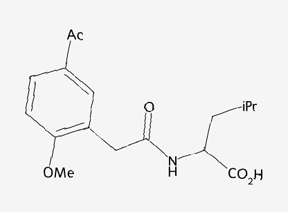 COc1ccc(C(C)=O)cc1CC(=O)NC(CC(C)C)C(=O)O